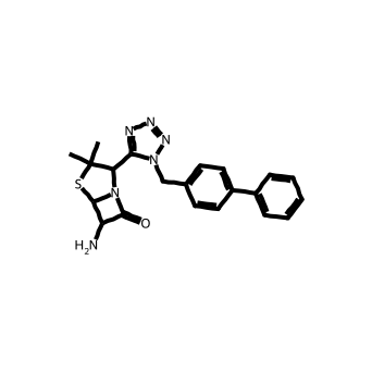 CC1(C)SC2C(N)C(=O)N2C1c1nnnn1Cc1ccc(-c2ccccc2)cc1